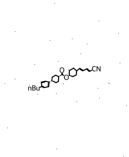 CCCCc1ccc([C@H]2CC[C@H](C(=O)OC3CCC(/C=C/C=CC#N)CC3)CC2)cc1